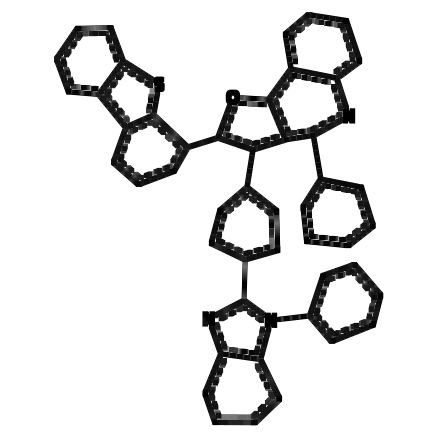 c1ccc(-c2nc3ccccc3c3oc(-c4cccc5c4sc4ccccc45)c(-c4ccc(-c5nc6ccccc6n5-c5ccccc5)cc4)c23)cc1